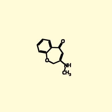 CNC1=CC(=O)c2ccccc2OC1